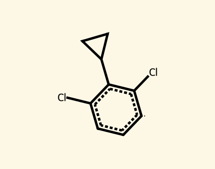 Clc1[c]ccc(Cl)c1C1CC1